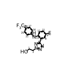 OCCn1nnc(-c2cc(F)ccc2Nc2ccc(C(F)(F)F)cc2)n1